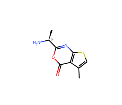 Cc1csc2nc([C@H](C)N)oc(=O)c12